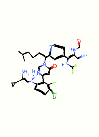 CC(C)CCCC(c1cc(/C(NC(F)F)=C(/C=N)NC=O)ccn1)n1cnc(-c2c(N(N)/C=C(\N)C3CC3)ccc(Cl)c2F)cc1=O